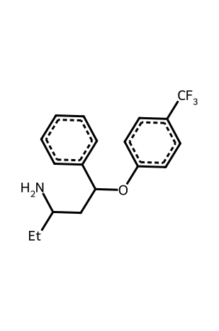 CCC(N)CC(Oc1ccc(C(F)(F)F)cc1)c1ccccc1